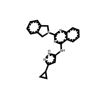 c1ccc2c(c1)CN(c1nc(Nc3cc(C4CC4)n[nH]3)c3ccccc3n1)C2